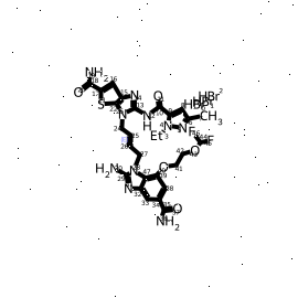 Br.Br.Br.CCn1nc(C)cc1C(=O)Nc1nc2cc(C(N)=O)sc2n1C/C=C/Cn1c(N)nc2cc(C(N)=O)cc(OCCOC(F)F)c21